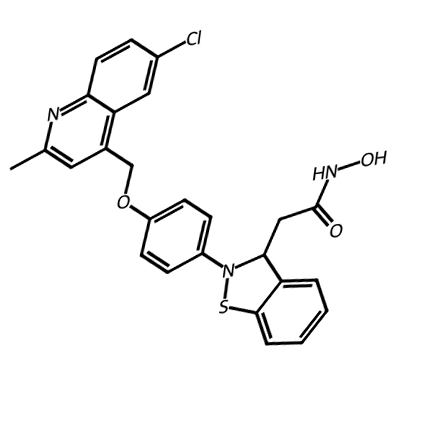 Cc1cc(COc2ccc(N3Sc4ccccc4C3CC(=O)NO)cc2)c2cc(Cl)ccc2n1